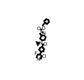 O=C(c1ccc(-c2c(F)cncc2Cl)cc1)N(C1CC1)C1CCc2nn(C(=O)OCc3ccccc3)cc2C1